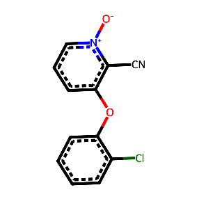 N#Cc1c(Oc2ccccc2Cl)ccc[n+]1[O-]